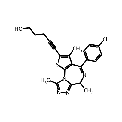 Cc1c(C#CCCCO)sc2c1C(c1ccc(Cl)cc1)=N[C@@H](C)c1nnc(C)n1-2